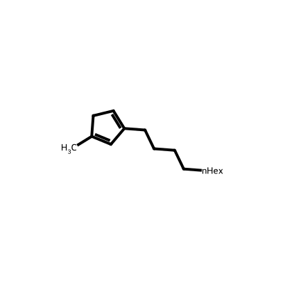 CCCCCCCCCCC1=CCC(C)=C1